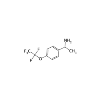 CC(N)c1ccc(OC(F)(F)C(F)(F)F)cc1